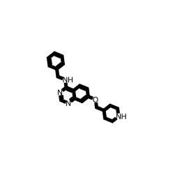 c1ccc(CNc2ncnc3cc(OCC4CCNCC4)ccc23)cc1